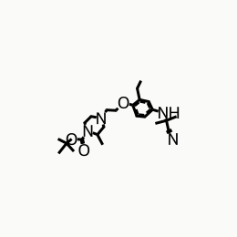 CCc1cc(NC(C)(C)C#N)ccc1OCCN1CCN(C(=O)OC(C)(C)C)C(C)C1